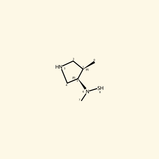 C[C@@H]1CNC[C@@H]1N(C)S